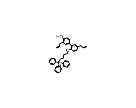 C=CCc1ccc(OCCCC[PH](c2ccccc2)(c2ccccc2)c2ccccc2)c(-c2ccc(O)c(CC=C)c2)c1